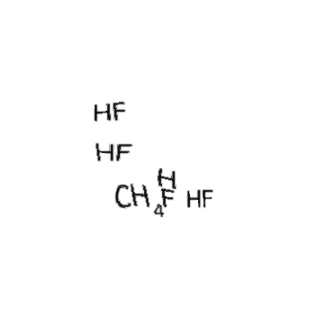 C.F.F.F.F